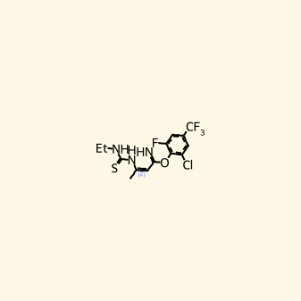 CCNC(=S)N/C(C)=C\C(=N)Oc1c(F)cc(C(F)(F)F)cc1Cl